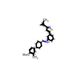 COc1ccc([C@H]2CC[C@H](CNc3cccc(-c4cc(C5CC5C)ns4)c3)CC2)cc1C